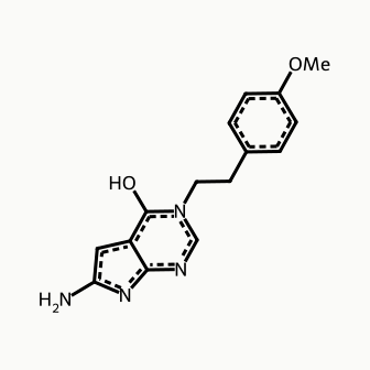 COc1ccc(CCn2cnc3nc(N)cc-3c2O)cc1